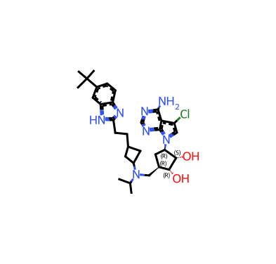 CC(C)N(C[C@H]1C[C@@H](n2cc(Cl)c3c(N)ncnc32)[C@H](O)[C@@H]1O)C1CC(CCc2nc3ccc(C(C)(C)C)cc3[nH]2)C1